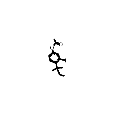 CCC(C)(C)c1ccc(OC(C)=O)cc1I